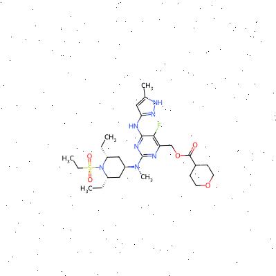 CC[C@@H]1C[C@@H](N(C)c2nc(COC(=O)C3CCOCC3)c(F)c(Nc3cc(C)[nH]n3)n2)C[C@H](CC)N1S(=O)(=O)CC